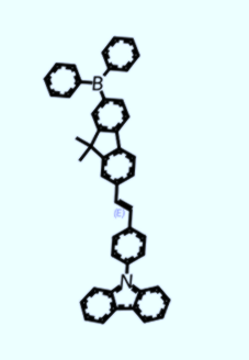 CC1(C)c2cc(/C=C/c3ccc(-n4c5ccccc5c5ccccc54)cc3)ccc2-c2ccc(B(c3ccccc3)c3ccccc3)cc21